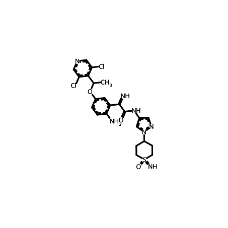 CC(Oc1ccc(N)c(C(=N)C(=O)Nc2cnn(C3CCS(=N)(=O)CC3)c2)c1)c1c(Cl)cncc1Cl